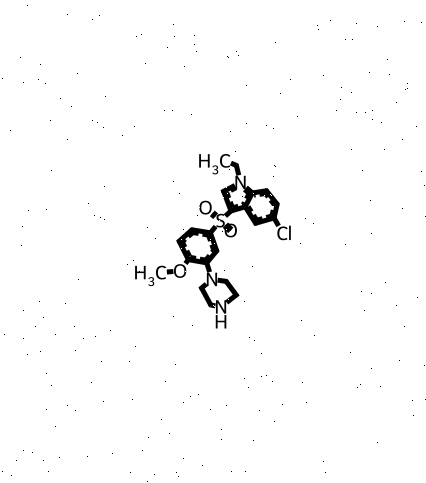 CCn1cc(S(=O)(=O)c2ccc(OC)c(N3CCNCC3)c2)c2cc(Cl)ccc21